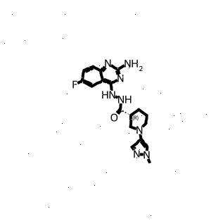 Cn1cc(N2CCC[C@@H](C(=O)NNc3nc(N)nc4ccc(F)cc34)C2)cn1